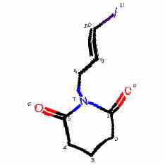 O=C1CCCC(=O)N1CC=CI